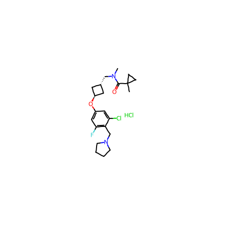 CN(C[C@H]1C[C@H](Oc2cc(F)c(CN3CCCC3)c(Cl)c2)C1)C(=O)C1(C)CC1.Cl